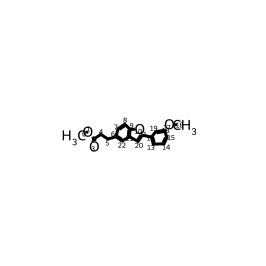 COC(=O)CCc1ccc2oc(-c3cccc(OC)c3)cc2c1